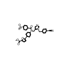 COC(=O)c1ccc(-c2ccc(N(Cc3cncn3Cc3ccc(C#N)cc3)C(=O)c3ccc([N+](=O)[O-])cc3)cc2)o1